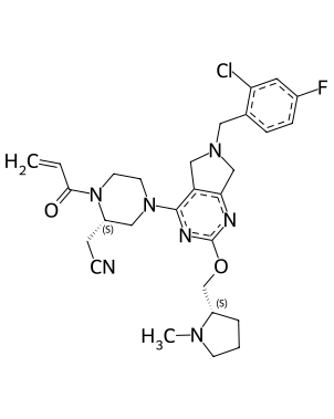 C=CC(=O)N1CCN(c2nc(OC[C@@H]3CCCN3C)nc3c2CN(Cc2ccc(F)cc2Cl)C3)C[C@@H]1CC#N